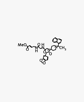 COC(=O)/C=C/CNC(=O)CNC(=O)CN(C(=O)Cc1ccc2c(c1)OCO2)C1CCN(C(C)c2cccc3ccccc23)CC1